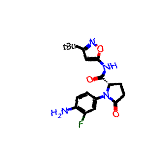 CC(C)(C)c1cc(NC(=O)[C@@H]2CCC(=O)N2c2ccc(N)c(F)c2)on1